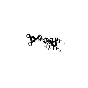 Cc1cc(C)c(C)c(S(=O)(=O)N2CCN(c3nc(-c4cc(Cl)cc(Cl)c4)cs3)CC2)c1C